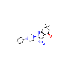 CC1(C)CC(=O)c2cc(N)c(N3CCN(c4ccccc4)CC3)nc2C1